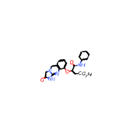 O=C(O)CC(Oc1cccc2c1N=C1NC(=O)CN1C2)C(=O)Nc1ccccc1